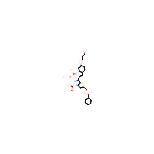 CC(C)(C)OC(=O)n1nc(-c2cc3ccc(OCCCBr)cc3n2C(=O)OC(C)(C)C)c2sc(COCc3ccccc3)cc21